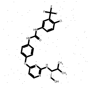 CC(C)[C@H](CO)Nc1nccc(Oc2ccc(NC(=O)Nc3ccc(Cl)c(C(F)(F)F)c3)cc2)n1